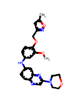 COc1cc(Nc2ccc3ncc(N4CCOCC4)nc3c2)ccc1OCc1cc(C)on1